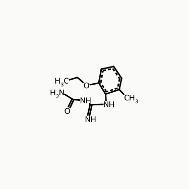 CCOc1cccc(C)c1NC(=N)NC(N)=O